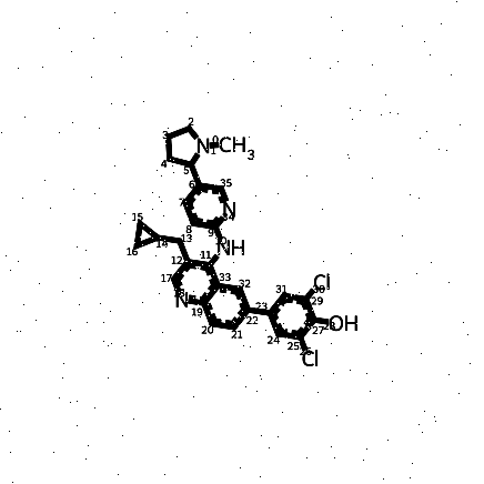 CN1CCCC1c1ccc(Nc2c(CC3CC3)cnc3ccc(-c4cc(Cl)c(O)c(Cl)c4)cc23)nc1